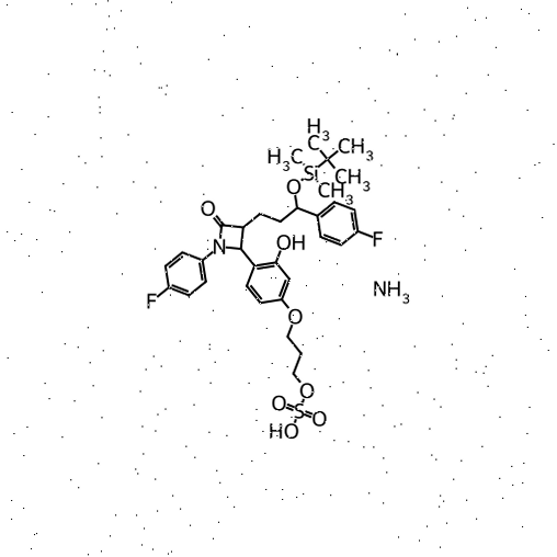 CC(C)(C)[Si](C)(C)OC(CCC1C(=O)N(c2ccc(F)cc2)C1c1ccc(OCCCOS(=O)(=O)O)cc1O)c1ccc(F)cc1.N